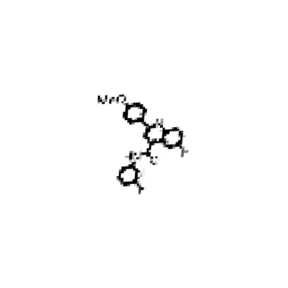 COc1ccc(-c2cc(C(=O)Nc3cccc(F)n3)c3cc(F)ccc3n2)cc1